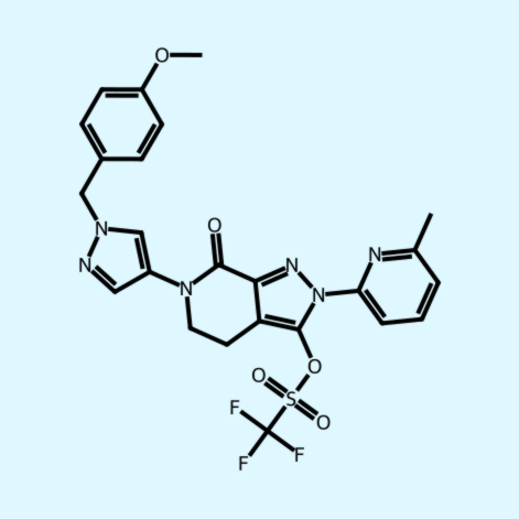 COc1ccc(Cn2cc(N3CCc4c(nn(-c5cccc(C)n5)c4OS(=O)(=O)C(F)(F)F)C3=O)cn2)cc1